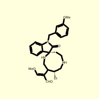 CC[C@H]1CNCC[C@@]2(NCC1/C(C=O)=C\OC)C(=O)N(Cc1cccc(OC)c1)c1ccccc12